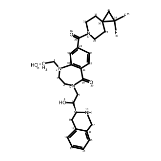 CCN1CCN(CC(O)[C@@H]2Cc3ccccc3CN2)C(=O)c2ccc(C(=O)N3CCC4(CC3)CC4(F)F)cc21.Cl